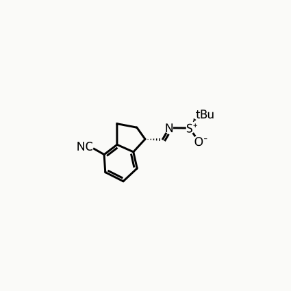 CC(C)(C)[S@+]([O-])N=C[C@H]1CCc2c(C#N)cccc21